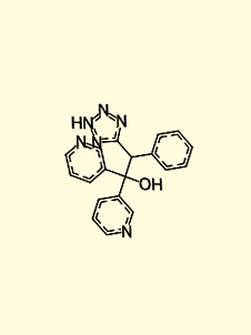 OC(c1cccnc1)(c1cccnc1)C(c1ccccc1)c1nn[nH]n1